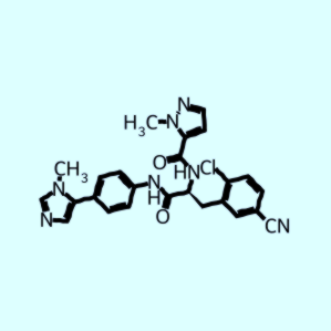 Cn1cncc1-c1ccc(NC(=O)[C@H](Cc2cc(C#N)ccc2Cl)NC(=O)c2ccnn2C)cc1